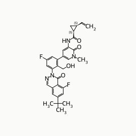 C=C[C@@H]1C[C@@H]1C(=O)Nc1cc(-c2cc(F)cc(-n3ncc4cc(C(C)(C)C)cc(F)c4c3=O)c2CO)cn(C)c1=O